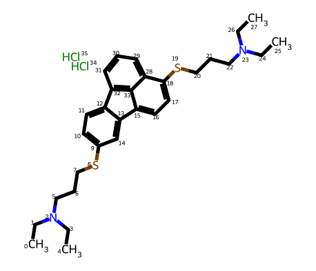 CCN(CC)CCCSc1ccc2c(c1)-c1ccc(SCCCN(CC)CC)c3cccc-2c13.Cl.Cl